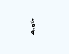 CCc1cccc(NC(=O)Nc2ccc(N3C=Nc4occc4C3N)cc2)c1